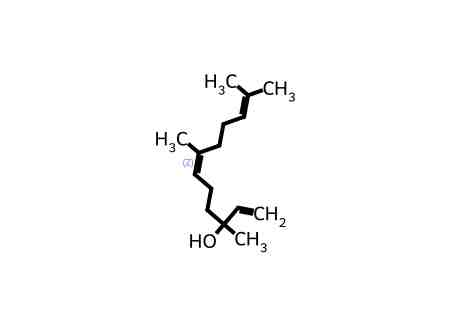 C=CC(C)(O)CC/C=C(/C)CCC=C(C)C